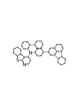 c1ccc(-c2ccccc2N(c2ccc(-c3cc4c5c(cccc5c3)-c3ccccc3-4)cc2)c2ccnc3sc4ccccc4c23)cc1